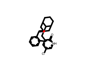 O=c1[nH]cc(Cl)cc1CN1CC2CCCC(C1)C2/C=C/c1ccccc1F